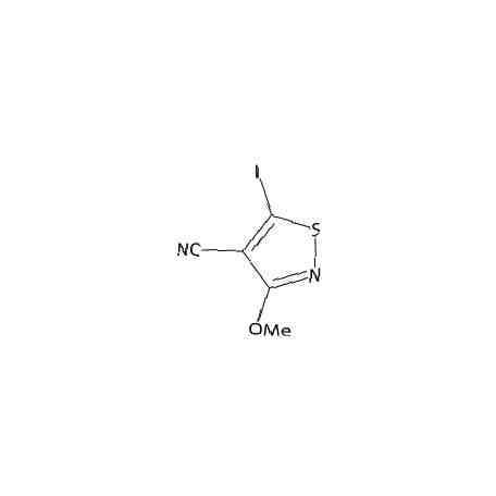 COc1nsc(I)c1C#N